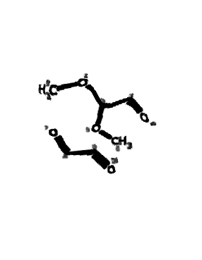 COC(C=O)OC.O=CC=O